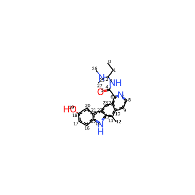 CCC(NC(=O)c1nccc2c(C)c3[nH]c4ccc(O)cc4c3cc12)N(C)C